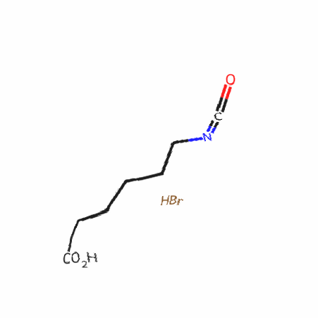 Br.O=C=NCCCCCC(=O)O